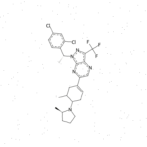 CC1CC(c2cnc3c(C(F)(F)F)nn([C@H](C)c4ccc(Cl)cc4Cl)c3n2)=CCC1N1CCC[C@H]1C